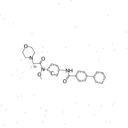 CON(C(=O)[C@H](C)N1CCOCC1)c1ccc(NC(=O)c2ccc(-c3ccccc3)cc2)cc1